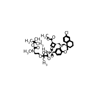 COC(=O)[C@@H]1CC[C@H]1CN1C[C@@]2(CCCc3cc(Cl)ccc32)COc2ccc(S(=O)(=O)NC(=O)C(C)(C)OCCN(C)C(=O)OC(C)(C)C)cc21